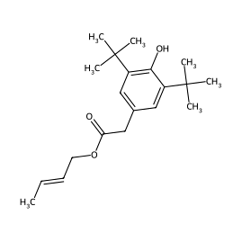 C/C=C/COC(=O)Cc1cc(C(C)(C)C)c(O)c(C(C)(C)C)c1